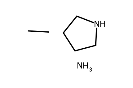 C1CCNC1.CC.N